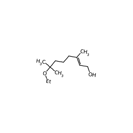 CCOC(C)(C)CCCC(C)=CCO